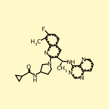 Cc1c(F)ccc2cc([C@H](C)Nc3ncnc4cccnc34)c(N3CCC(NC(=O)C4CC4)C3)nc12